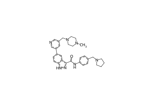 CN1CCN(Cc2cncc(-c3ccc4[nH]nc(C(=O)Nc5ccc(CN6CCCC6)cc5)c4c3)c2)CC1